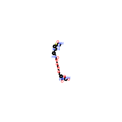 C[C@@H]1CNc2c(sc3ccc4nc(-c5cccc(CNC(=O)COCCOCCOCCOCCc6ccc7c(c6)n(C)c(=O)n7C6CCC(=O)NC6=O)c5)ccc4c23)C(=O)N1